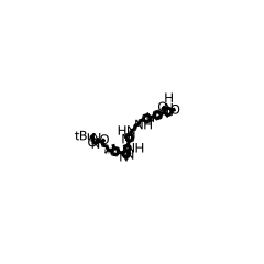 Cc1cc(-c2ncnc3[nH]c(-c4ccc(NCCNCC5CCN(c6ccc(N7CCC(=O)NC7=O)cc6)CC5)cn4)cc23)ccc1[C@@H](C)CCC(=O)c1noc(C(C)(C)C)n1